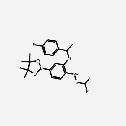 CC(Oc1cc(B2OC(C)(C)C(C)(C)O2)ccc1NSC(F)F)c1ccc(F)cc1